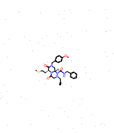 C#CCN1CC(=O)N2[C@@H](CCSC)C(=O)N(Cc3ccc(OC)cc3)C[C@@H]2N1C(=O)NCc1ccccc1